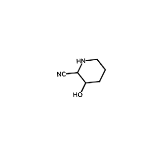 N#CC1NCCCC1O